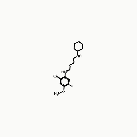 NSc1cc(Cl)c(NCCCCNC2CCCCC2)cc1F